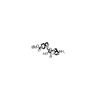 CC(C)(C)OC(=O)N1CCC2(CCCN2C[C@H]2O[C@@H](n3ccc4c(N)ncnc43)[C@H](O)[C@@H]2O)CC1